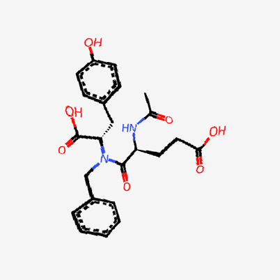 CC(=O)N[C@@H](CCC(=O)O)C(=O)N(Cc1ccccc1)[C@@H](Cc1ccc(O)cc1)C(=O)O